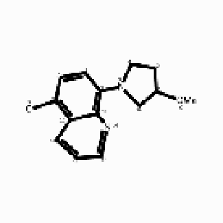 COC1CCN(c2[c]cc(Cl)c3cccnc23)C1